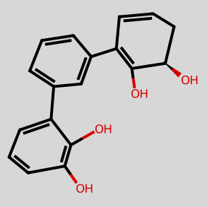 OC1=C(c2cccc(-c3cccc(O)c3O)c2)C=CC[C@H]1O